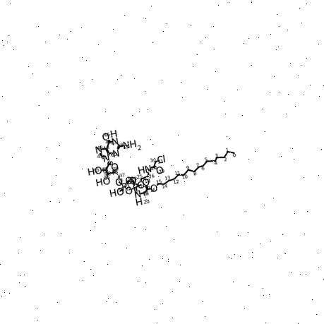 CCCCCCCCCCCCCCCCOC(=O)[C@H](C)NP(=O)(OCCNC(=O)CCl)OP(=O)(O)OC[C@H]1O[C@@H](n2cnc3c(=O)[nH]c(N)nc32)[C@H](O)[C@@H]1O